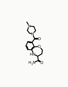 CN1CCN(C(=O)c2c[c]cc3c2OCCC(C(N)=O)N3)CC1